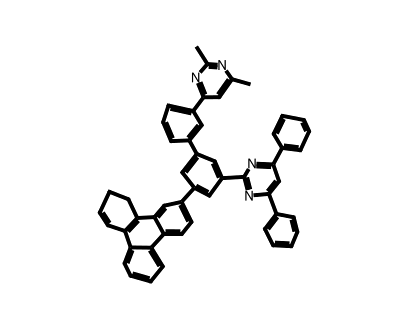 Cc1cc(-c2cccc(-c3cc(-c4ccc5c(c4)c4c(c6ccccc65)C=CCC4)cc(-c4nc(-c5ccccc5)cc(-c5ccccc5)n4)c3)c2)nc(C)n1